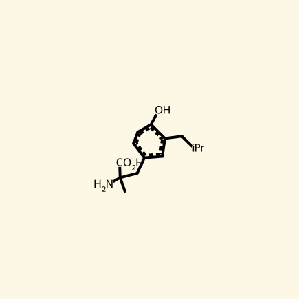 CC(C)Cc1cc(CC(C)(N)C(=O)O)ccc1O